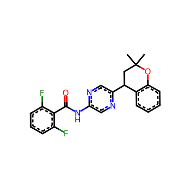 CC1(C)CC(c2cnc(NC(=O)c3c(F)cccc3F)cn2)c2ccccc2O1